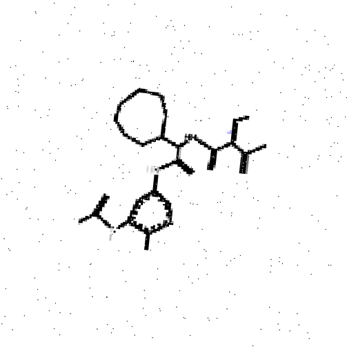 C=C(C)Nc1cc(NC(=C)C(NC(=C)/C(=C/C)C(=C)C)C2CCCCCCC2)ccc1C